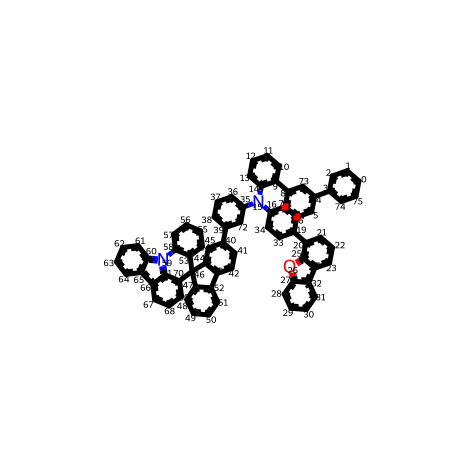 c1ccc(-c2cccc(-c3ccccc3N(c3ccc(-c4cccc5c4oc4ccccc45)cc3)c3cccc(-c4ccc5c(c4)C4(c6ccccc6-5)c5ccccc5-n5c6ccccc6c6cccc4c65)c3)c2)cc1